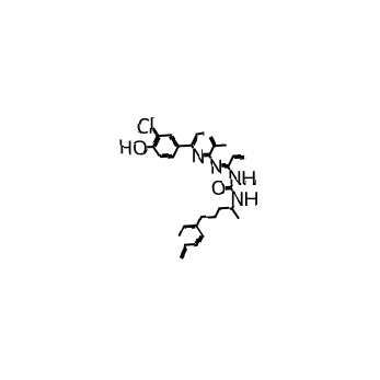 C=C/C=C\C(=C/C)CCCC(C)NC(=O)N/C(C=C)=N/C(=N/C(=C\C)c1ccc(O)c(Cl)c1)C(=C)C